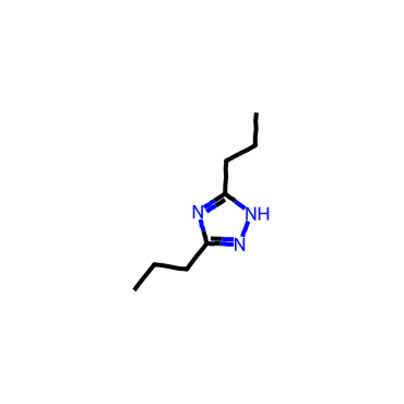 CCCc1n[nH]c(CCC)n1